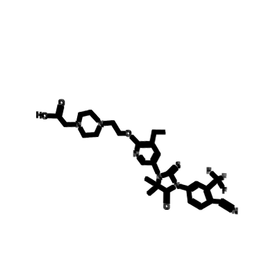 CCc1cc(N2C(=S)N(c3ccc(C#N)c(C(F)(F)F)c3)C(=O)C2(C)C)cnc1OCCN1CCN(CC(=O)O)CC1